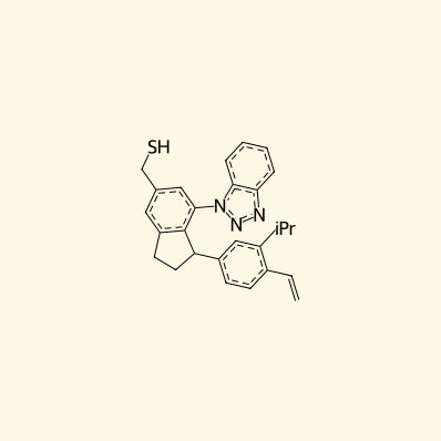 C=Cc1ccc(C2CCc3cc(CS)cc(-n4nnc5ccccc54)c32)cc1C(C)C